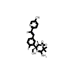 C[C@@H]1[C@@](CO)(c2cc(/C=C(\F)c3ccc(C#N)cn3)ccc2F)N=C(N)C(C)(C)S1(=O)=O